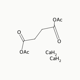 CC(=O)OC(=O)CCC(=O)OC(C)=O.[CaH2].[CaH2]